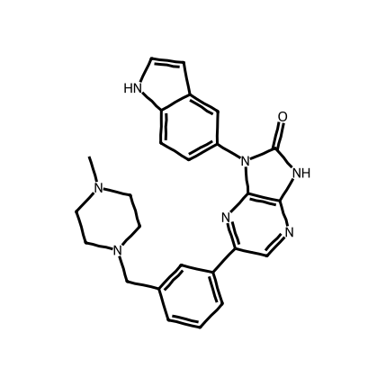 CN1CCN(Cc2cccc(-c3cnc4[nH]c(=O)n(-c5ccc6[nH]ccc6c5)c4n3)c2)CC1